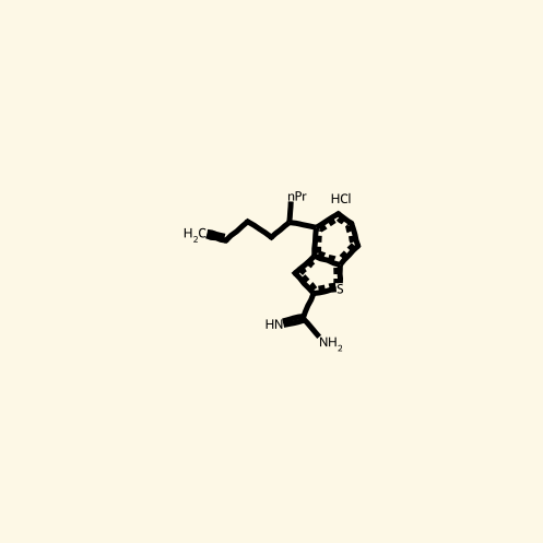 C=CCCC(CCC)c1cccc2sc(C(=N)N)cc12.Cl